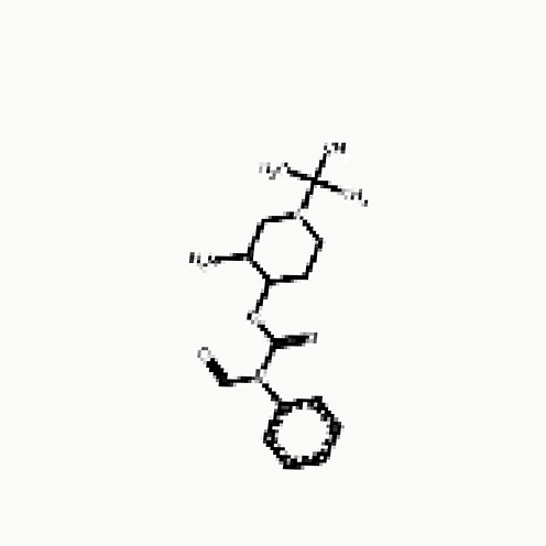 CC(C)(C)N1CCC(OC(=O)N(C=O)c2ccccc2)C(N)C1